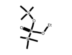 CCOP(=O)(O[Si](C)(C)C)[Si](C)(C)C